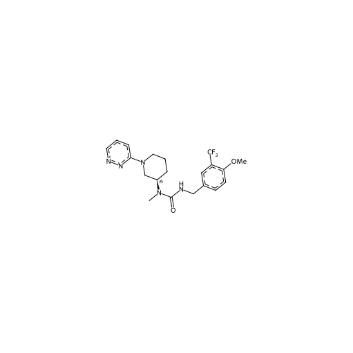 COc1ccc(CNC(=O)N(C)[C@@H]2CCCN(c3cccnn3)C2)cc1C(F)(F)F